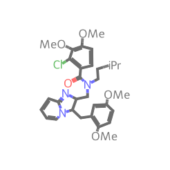 COc1ccc(OC)c(CC2C(CN(CCC(C)C)C(=O)c3ccc(OC)c(OC)c3Cl)N=C3C=CC=CN32)c1